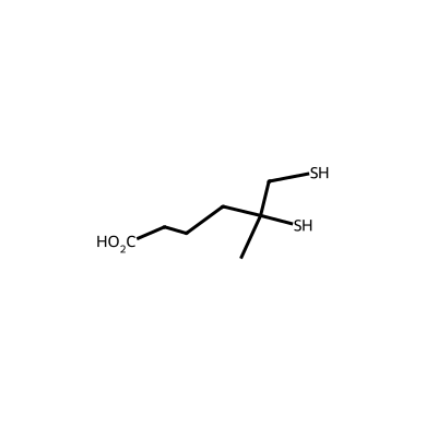 CC(S)(CS)CCCC(=O)O